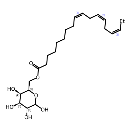 CC/C=C\C/C=C\C/C=C\CCCCCCCC(=O)OC[C@H]1OC(O)[C@H](O)[C@@H](O)[C@H]1O